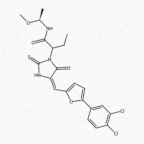 CCC(C(=O)N[C@H](C)OC)N1C(=O)/C(=C\c2ccc(-c3ccc(Cl)c(Cl)c3)o2)NC1=S